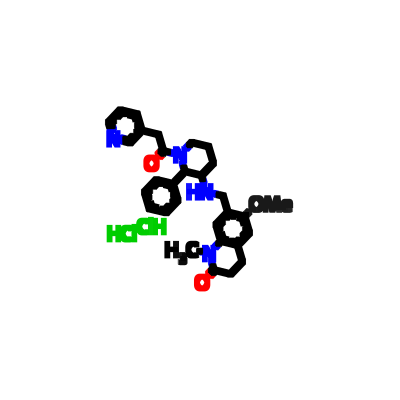 COc1cc2c(cc1CNC1CCCN(C(=O)Cc3cccnc3)C1c1ccccc1)N(C)C(=O)CC2.Cl.Cl